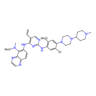 C=Cc1cnc(Nc2cc(CC)c(N3CCN(C4CCN(C)CC4)CC3)cc2OC)nc1Nc1ccc2nccnc2c1N(C)SC